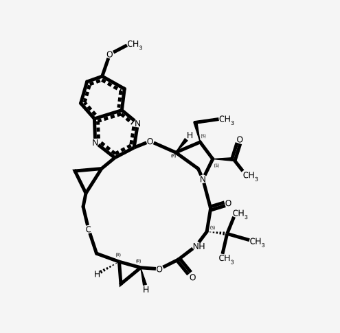 CC[C@@H]1[C@@H]2CN(C(=O)[C@H](C(C)(C)C)NC(=O)O[C@@H]3C[C@H]3CCCC3CC3c3nc4ccc(OC)cc4nc3O2)[C@@H]1C(C)=O